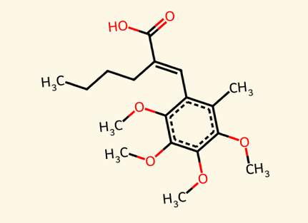 CCCCC(=Cc1c(C)c(OC)c(OC)c(OC)c1OC)C(=O)O